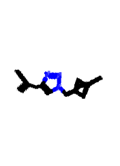 CC(C)c1cn(CC23CC(C)(C2)C3)nn1